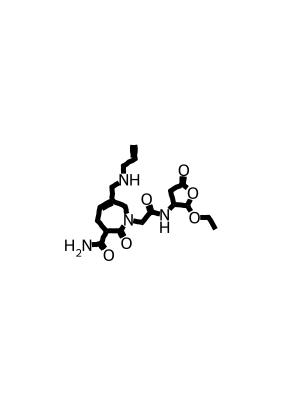 C=CCNCC1=CCC(C(N)=O)C(=O)N(CC(=O)NC2CC(=O)OC2OCC)C1